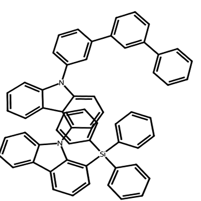 c1ccc(-c2cccc(-c3cccc(-n4c5ccccc5c5c(-n6c7ccccc7c7cccc([Si](c8ccccc8)(c8ccccc8)c8ccccc8)c76)cccc54)c3)c2)cc1